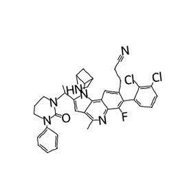 Cc1nc2c(F)c(-c3cccc(Cl)c3Cl)c(CCC#N)cc2c2c1cc(C(C)N1CCCN(c3ccccc3)C1=O)n2C1C2CNC1C2